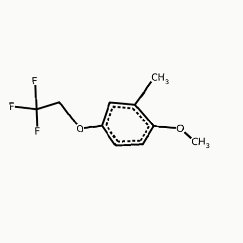 COc1ccc(OCC(F)(F)F)cc1C